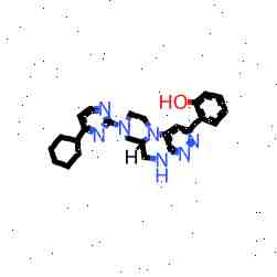 Oc1ccccc1-c1cc2c(nn1)NC[C@@H]1CN(c3nccc(C4CCCCC4)n3)CCN21